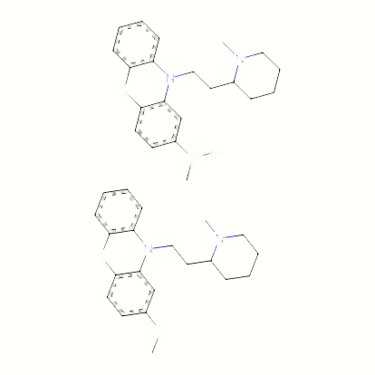 CN1CCCCC1CCN1c2ccccc2Sc2ccc([S+](C)[O-])cc21.CSc1ccc2c(c1)N(CCC1CCCCN1C)c1ccccc1S2